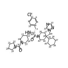 O=C([C@@H](Cc1ccc(Cl)cc1)NC1CCN(C(=O)N2CCCC2)CC1)N1CCC(Cn2cncn2)(C2CCCCC2)CC1